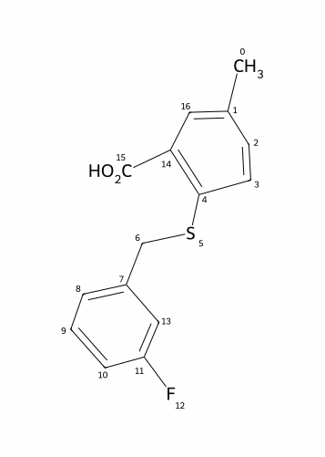 Cc1ccc(SCc2cccc(F)c2)c(C(=O)O)c1